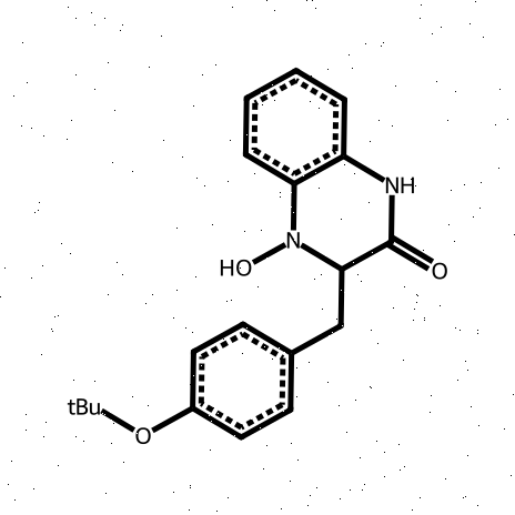 CC(C)(C)Oc1ccc(CC2C(=O)Nc3ccccc3N2O)cc1